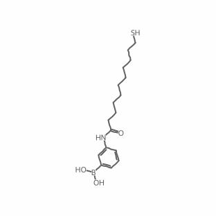 O=C(CCCCCCCCCCS)Nc1cccc(B(O)O)c1